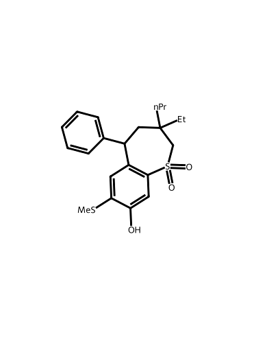 CCCC1(CC)CC(c2ccccc2)c2cc(SC)c(O)cc2S(=O)(=O)C1